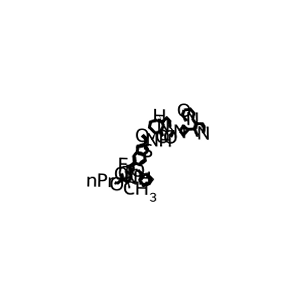 CCCOC(=O)[C@H](C)NP(=O)(Oc1ccccc1)[C@@H](F)c1ccc2sc(C(=O)N[C@H]3CCC[C@H]4CC[C@@H](C(=O)N5CC(c6cnccc6N6CCOCC6)C5)N4C3=O)cc2c1